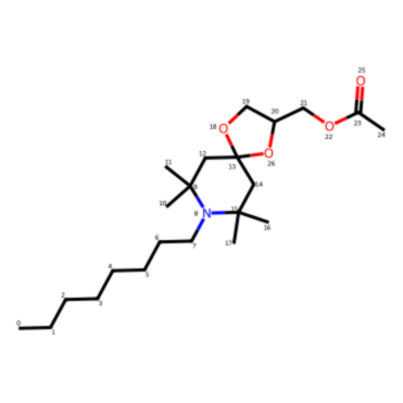 CCCCCCCCN1C(C)(C)CC2(CC1(C)C)OCC(COC(C)=O)O2